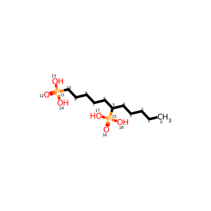 CCCCCC(CCCCCP(=O)(O)O)P(=O)(O)O